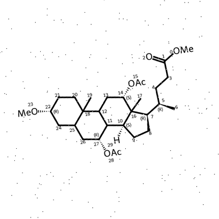 COC(=O)CC[C@@H](C)[C@H]1CC[C@H]2C3C(C[C@H](OC(C)=O)C12C)C1(C)CC[C@@H](OC)CC1C[C@H]3OC(C)=O